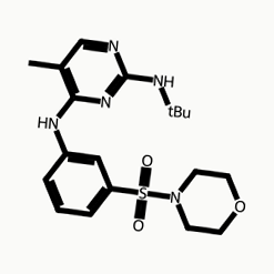 Cc1cnc(NC(C)(C)C)nc1Nc1cccc(S(=O)(=O)N2CCOCC2)c1